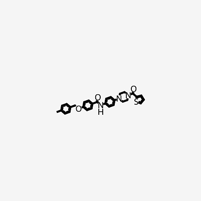 Cc1ccc(COc2ccc(C(=O)Nc3ccc(N4CCN(C(=O)c5cccs5)CC4)cc3)cc2)cc1